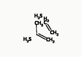 C=C.C=CC.S.S